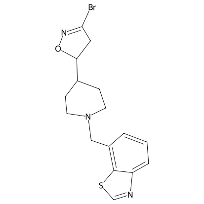 BrC1=NOC(C2CCN(Cc3cccc4ncsc34)CC2)C1